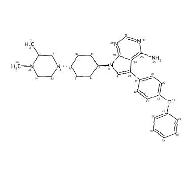 CC1CN([C@H]2CC[C@H](n3cc(-c4ccc(Oc5ccccc5)cc4)c4c(N)ncnc43)CC2)CCN1C